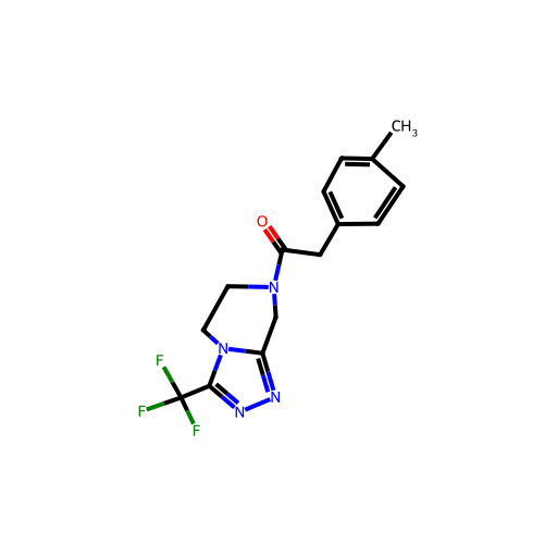 Cc1ccc(CC(=O)N2CCn3c(nnc3C(F)(F)F)C2)cc1